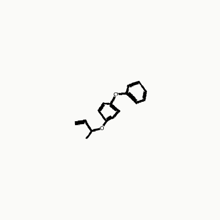 C=CC(C)Oc1ccc(Oc2ccccc2)cc1